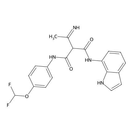 CC(=N)C(C(=O)Nc1ccc(OC(F)F)cc1)C(=O)Nc1cccc2cc[nH]c12